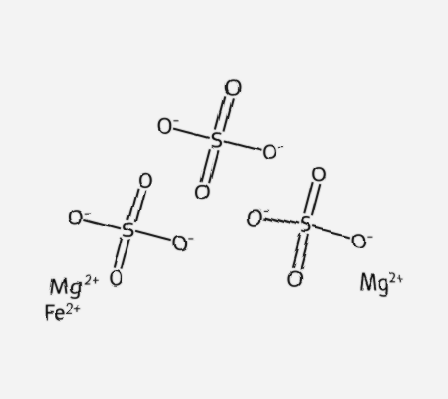 O=S(=O)([O-])[O-].O=S(=O)([O-])[O-].O=S(=O)([O-])[O-].[Fe+2].[Mg+2].[Mg+2]